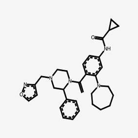 C=C(c1ccc(NC(=O)C2CC2)cc1N1CCCCCC1)N1CCN(Cc2ccon2)CC1c1ccccc1